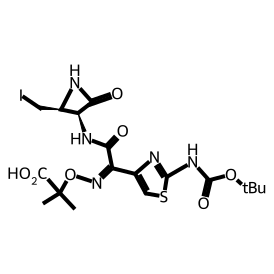 CC(C)(C)OC(=O)Nc1nc(C(=NOC(C)(C)C(=O)O)C(=O)N[C@@H]2C(=O)N[C@@H]2CI)cs1